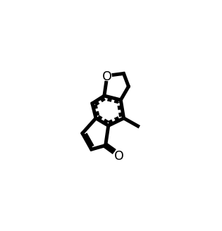 Cc1c2c(cc3c1C(=O)C=C3)OCC2